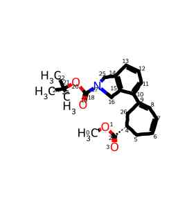 COC(=O)[C@H]1CC=CC=C(c2cccc3c2CN(C(=O)OC(C)(C)C)C3)C1